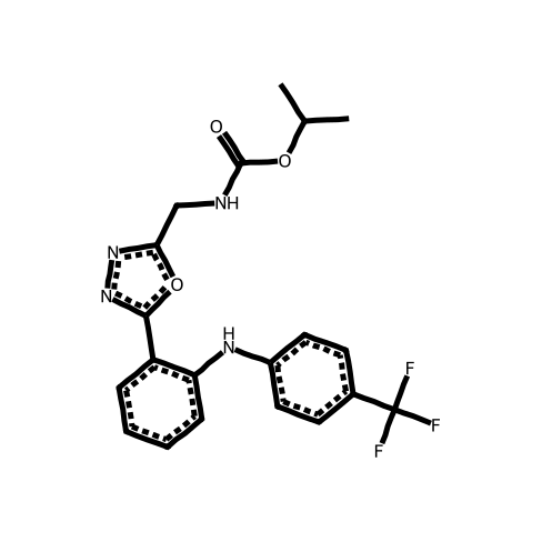 CC(C)OC(=O)NCc1nnc(-c2ccccc2Nc2ccc(C(F)(F)F)cc2)o1